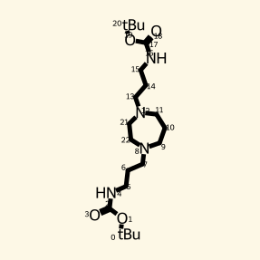 CC(C)(C)OC(=O)NCCCN1CCCN(CCCNC(=O)OC(C)(C)C)CC1